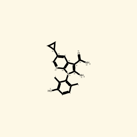 Cc1ccc(O)c(C)c1-n1c(N)c(C(N)=O)c2cc(C3CC3)cnc21